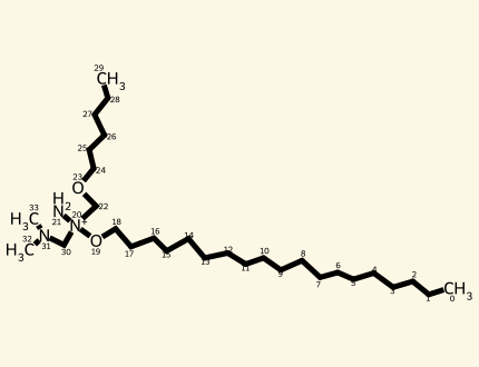 CCCCCCCCCCCCCCCCCCCO[N+](N)(COCCCCCC)CN(C)C